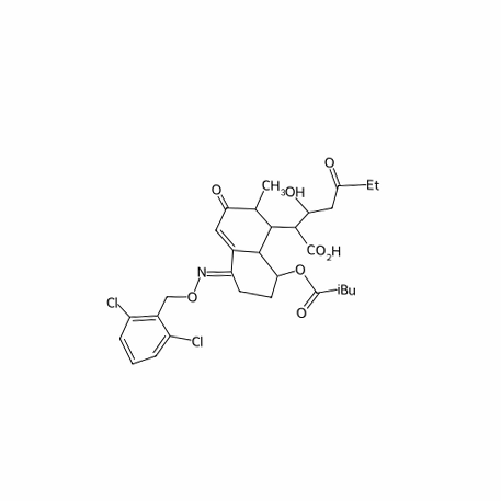 CCC(=O)CC(O)C(C(=O)O)C1C(C)C(=O)C=C2C(=NOCc3c(Cl)cccc3Cl)CCC(OC(=O)C(C)CC)C21